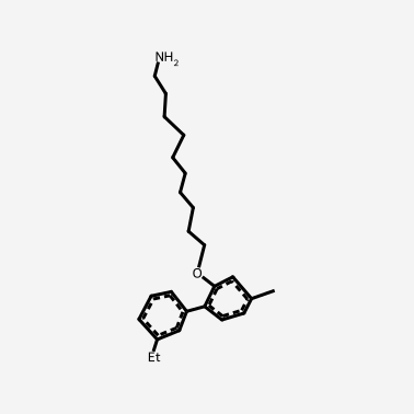 CCc1cccc(-c2ccc(C)cc2OCCCCCCCCCCN)c1